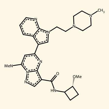 CNc1cc(-c2cn(CCN3CCN(C)CC3)c3ncccc23)nc2c(C(=O)NC3CC[C@H]3OC)cnn12